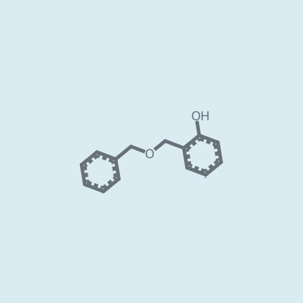 Oc1cc[c]cc1COCc1ccccc1